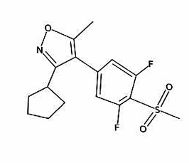 Cc1onc(C2CCCC2)c1-c1cc(F)c(S(C)(=O)=O)c(F)c1